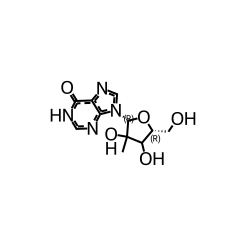 CC1(O)C(O)[C@@H](CO)O[C@H]1n1cnc2c(=O)[nH]cnc21